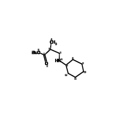 CC(C)COC(=O)C(C)CNC1CCCCC1